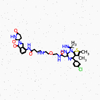 CC(=N)N1C(=N)[C@H](CC(=O)NCCOCCNCCCC(=O)Nc2cccc3c2CN(C2CCC(=O)NC2=O)C3=O)N=C(c2ccc(Cl)cc2)c2c1sc(C)c2C